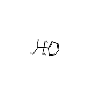 CC(C)(c1ccccc1)C([SiH3])Cl